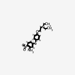 CCN(CC)CCOc1ccc(Sc2ccc([N+](=O)[O-])c(N)c2)cc1